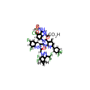 Cc1cc(C2CCC(F)(F)CC2)nc2nc([C@H](Cc3cc(F)cc(F)c3)NC(=O)Cn3nc(C(F)F)c4c3C(F)(F)[C@@H]3C[C@H]43)n(-c3ccc(Cl)c4c(NS(C)(=O)=O)nn(CC(=O)O)c34)c(=O)c12